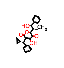 CC[C@H](C1OC(=O)C([C@H](c2ccccc2)C2CC2)=C(O)C1=O)[C@@H](O)c1ccccc1